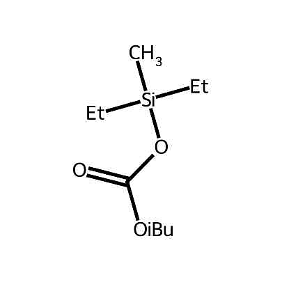 CC[Si](C)(CC)OC(=O)OCC(C)C